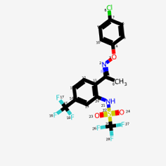 C/C(=N\Oc1ccc(Cl)cc1)c1ccc(C(F)(F)F)cc1NS(=O)(=O)C(F)(F)F